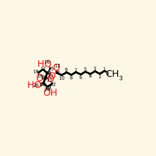 CCCCCCCCCCCC(=O)O[C@@]1(CO)CCO[C@@]12OC[C@H](O)[C@H]2O